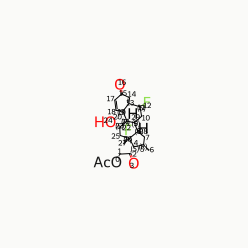 CC(=O)OCC(=O)[C@H]1[C@H](C)C[C@H]2[C@@H]3C[C@H](F)C4=CC(=O)C=C[C@]4(C)[C@@]3(F)[C@@H](O)C[C@]21C